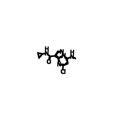 CNc1cc(Cl)nc2c(C(=O)NC3CC3)cnn12